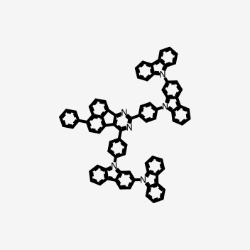 c1ccc(-c2ccc3c4c(cccc24)-c2nc(-c4ccc(-n5c6ccccc6c6ccc(-n7c8ccccc8c8ccccc87)cc65)cc4)nc(-c4ccc(-n5c6ccccc6c6ccc(-n7c8ccccc8c8ccccc87)cc65)cc4)c2-3)cc1